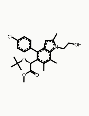 COC(=O)[C@@H](OC(C)(C)C)c1c(C)c(I)c2c(cc(C)n2CCO)c1-c1ccc(Cl)cc1